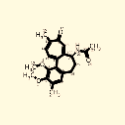 COc1c(C)cc2c(c1OC)-c1ccc(C)c(=O)cc1[C@@H](NC(C)=O)CC2